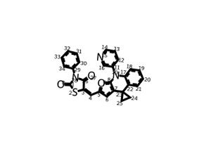 O=C1S/C(=C/c2cc3c(o2)N(c2cccnc2)c2ccccc2C32CC2)C(=O)N1c1ccccc1